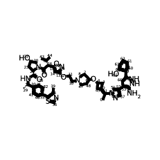 CC(=C1CC(OC2CCN(CCOc3cc([C@H](C(=O)N4C[C@H](O)C[C@H]4C(=O)N[C@@H](C)c4ccc(-c5scnc5C)cc4)C(C)C)on3)CC2)C1)n1cc(C2=C(N)NNC(c3ccccc3O)=C2)cn1